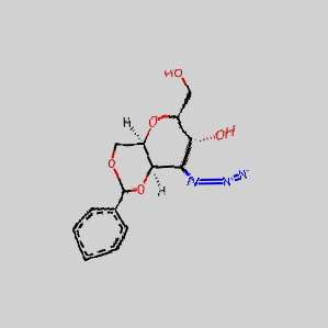 [N-]=[N+]=NC1[C@@H](O)[C@H](CO)O[C@@H]2COC(c3ccccc3)O[C@H]12